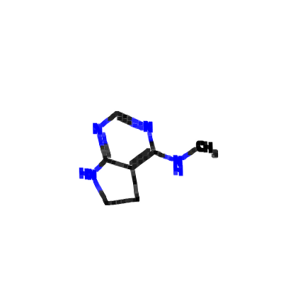 CNc1ncnc2c1CCN2